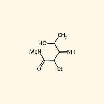 [CH2]C(O)C(=N)C(CC)C(=O)NC